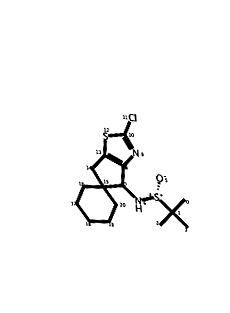 CC(C)(C)[S@@+]([O-])NC1c2nc(Cl)sc2CC12CCCCC2